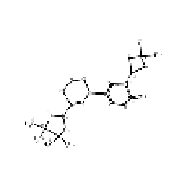 CC1(C)OB(C2=CC(c3ccc(=O)n(C4CC(F)(F)C4)c3)OCC2)OC1(C)C